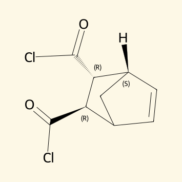 O=C(Cl)[C@@H]1[C@@H]2C=CC(C2)[C@H]1C(=O)Cl